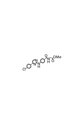 COC(=O)CNC(=O)c1ccc(Nc2nccc(-c3ccc(Cl)cc3)n2)cc1